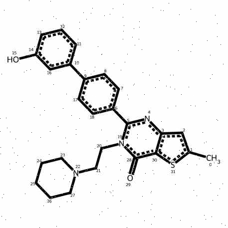 Cc1cc2nc(-c3ccc(-c4cccc(O)c4)cc3)n(CCN3CCCCC3)c(=O)c2s1